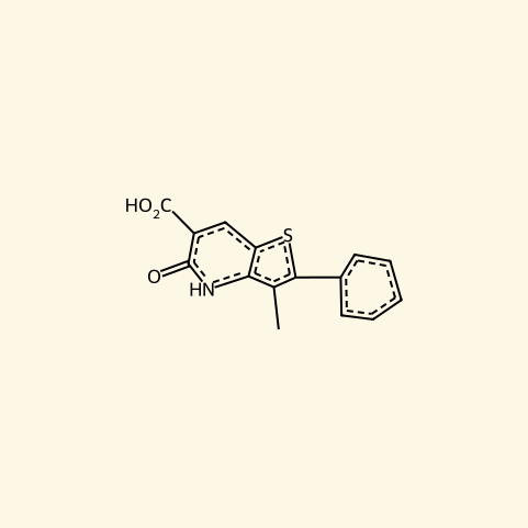 Cc1c(-c2ccccc2)sc2cc(C(=O)O)c(=O)[nH]c12